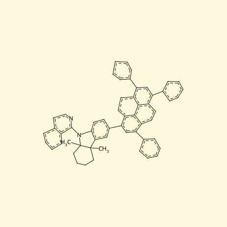 CC12CCCCC1(C)N(c1nccc3ccccc13)c1ccc(-c3cc(-c4ccccc4)c4ccc5c(-c6ccccc6)cc(-c6ccccc6)c6ccc3c4c56)cc12